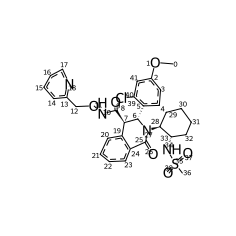 COc1ccc([C@H]2[C@H](C(=O)NOCc3ccccn3)c3ccccc3C(=O)N2[C@H]2CCCC[C@@H]2NS(C)(=O)=O)c(Cl)c1